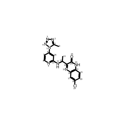 Cc1nnnn1-c1ccnc(NC(C)c2nc3cc(Cl)ccc3[nH]c2=O)c1